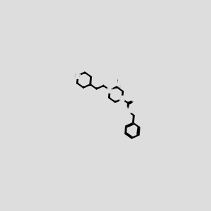 C[C@H]1CN(C(=O)OCc2ccccc2)CCN1CCC1CCNCC1